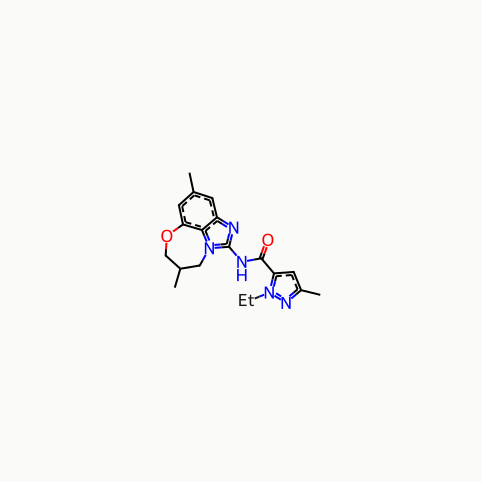 CCn1nc(C)cc1C(=O)Nc1nc2cc(C)cc3c2n1CC(C)CO3